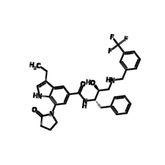 CCc1c[nH]c2c(N3CCCC3=O)cc(C(=O)N[C@@H](Cc3ccccc3)[C@@H](O)CNCc3cccc(C(F)(F)F)c3)cc12